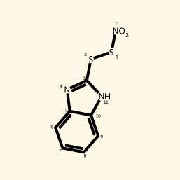 O=[N+]([O-])SSc1nc2ccccc2[nH]1